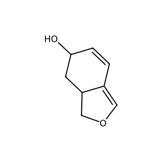 OC1C=CC2=COCC2C1